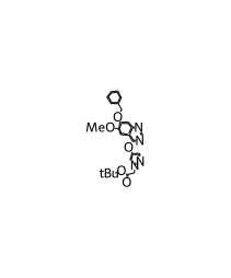 COc1cc2c(Oc3cnn(CC(=O)OC(C)(C)C)c3)ncnc2cc1OCc1ccccc1